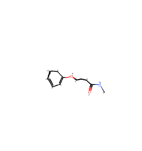 CNC(=O)CCOC1=CC=CCC1